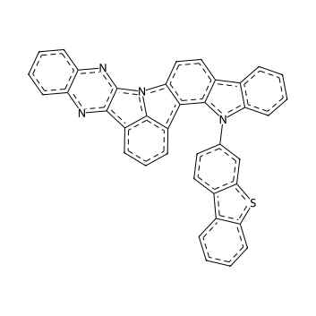 c1ccc2nc3c(nc2c1)c1cccc2c4c5c(ccc4n3c12)c1ccccc1n5-c1ccc2c(c1)sc1ccccc12